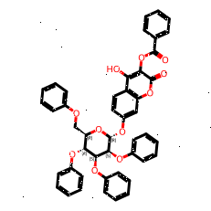 O=C(Oc1c(O)c2ccc(O[C@H]3O[C@H](COc4ccccc4)[C@@H](Oc4ccccc4)[C@H](Oc4ccccc4)[C@@H]3Oc3ccccc3)cc2oc1=O)c1ccccc1